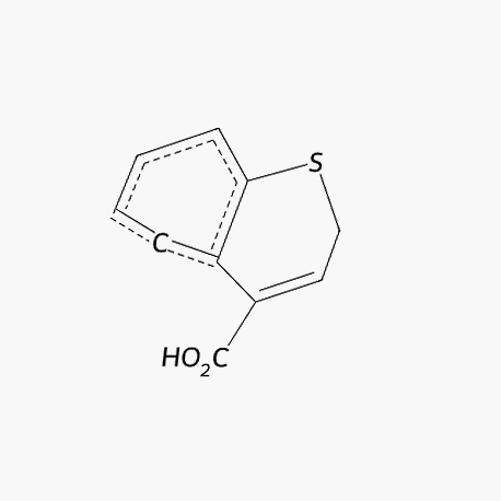 O=C(O)C1=CCSc2ccccc21